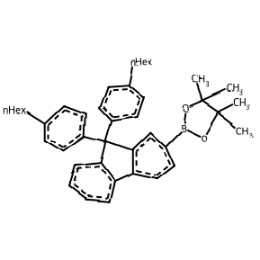 CCCCCCc1ccc(C2(c3ccc(CCCCCC)cc3)c3ccccc3-c3ccc(B4OC(C)(C)C(C)(C)O4)cc32)cc1